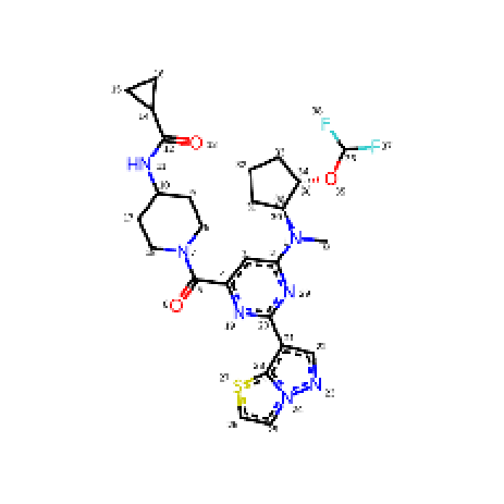 CN(c1cc(C(=O)N2CCC(NC(=O)C3CC3)CC2)nc(-c2cnn3ccsc23)n1)[C@H]1CCC[C@@H]1OC(F)F